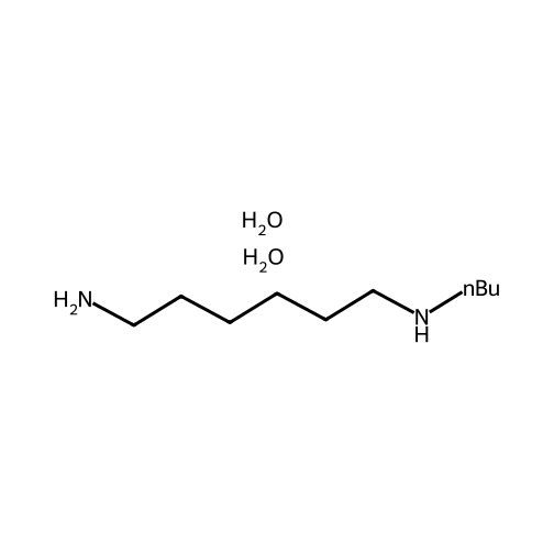 CCCCNCCCCCCN.O.O